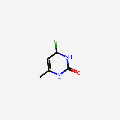 CC1=CC(Cl)NC(=O)N1